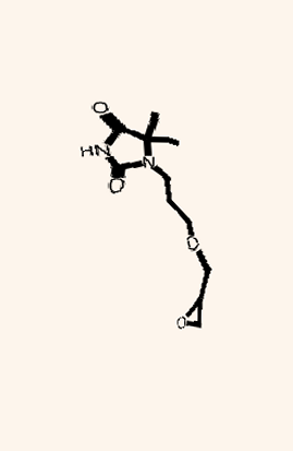 CC1(C)C(=O)NC(=O)N1CCCOCC1CO1